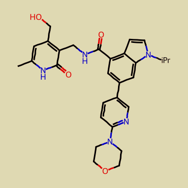 Cc1cc(CO)c(CNC(=O)c2cc(-c3ccc(N4CCOCC4)nc3)cc3c2ccn3C(C)C)c(=O)[nH]1